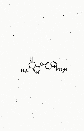 CC1CNCc2c(Oc3ccc4c(ccn4C(=O)O)c3)cncc21